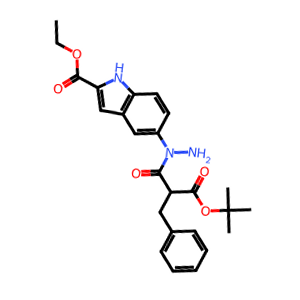 CCOC(=O)c1cc2cc(N(N)C(=O)C(Cc3ccccc3)C(=O)OC(C)(C)C)ccc2[nH]1